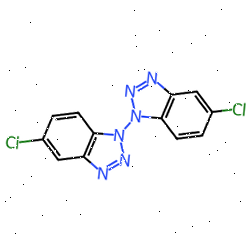 Clc1ccc2c(c1)nnn2-n1nnc2cc(Cl)ccc21